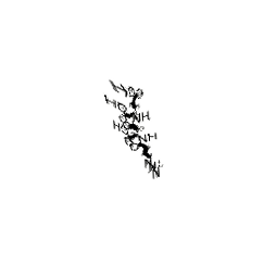 [N-]=[N+]=NCCCC(=O)N[C@@H](CC(=O)N[C@@H](CCC(=O)O)C(=O)O)C(=O)O